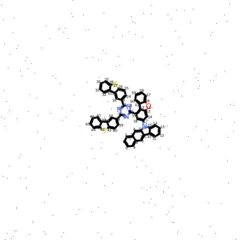 c1ccc2cc3c(cc2c1)c1ccccc1n3-c1cc(-c2nc(-c3ccc4sc5ccccc5c4c3)nc(-c3ccc4sc5ccccc5c4c3)n2)c2c(c1)oc1ccccc12